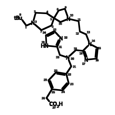 CC(C)(C)CN1CCC2(CC1)CCN(CCCn1ccnc1CN(Cc1ccc(CC(=O)O)cc1)Cc1ncc[nH]1)C2